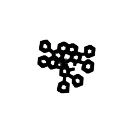 Cc1c(-c2ccccc2)c(-c2ccccc2)cc(-c2ccccc2)c1[Si](c1c(-c2ccccc2)cc(-c2ccccc2)c(-c2ccccc2)c1C)c1c(-c2ccccc2)cc(-c2ccccc2)c(-c2ccccc2)c1C